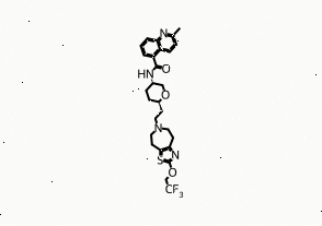 Cc1ccc2c(C(=O)N[C@H]3CC[C@H](CCN4CCc5nc(OCC(F)(F)F)sc5CC4)OC3)cccc2n1